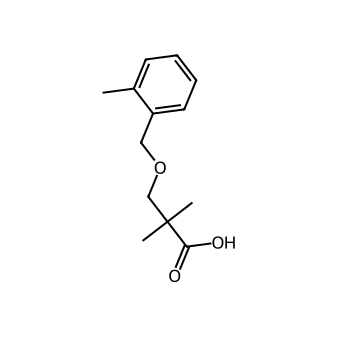 Cc1ccccc1COCC(C)(C)C(=O)O